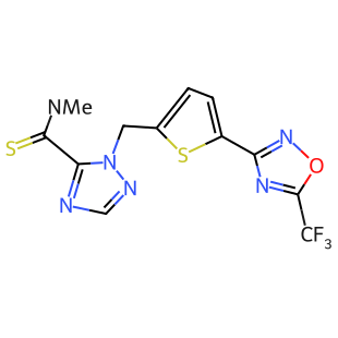 CNC(=S)c1ncnn1Cc1ccc(-c2noc(C(F)(F)F)n2)s1